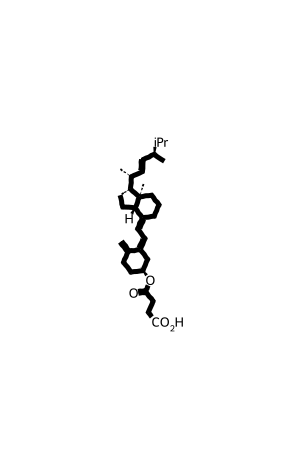 C=C1CC[C@H](OC(=O)CCC(=O)O)C/C1=C/C=C1\CCC[C@]2(C)[C@@H]([C@H](C)/C=C/[C@H](C)C(C)C)CC[C@@H]12